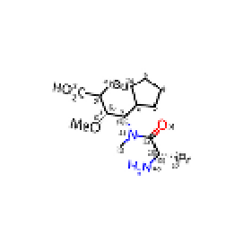 CO[C@H](C(C(=O)O)C(C)(C)C)[C@H](C1CCCC1)N(C)C(=O)[C@@H](N)C(C)C